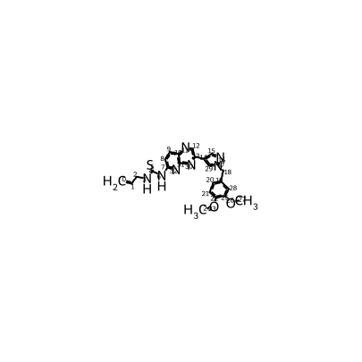 C=CCNC(=S)Nc1ccc2ncc(-c3cnn(Cc4ccc(OC)c(OC)c4)c3)nc2n1